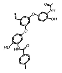 C=Cc1cc(Oc2ccc(O)c(NC(C)=O)c2)cc(Oc2ccc(O)c(NC(=O)c3ccc(C)cc3)c2)c1